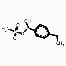 CCc1ccc(B(O)OS(N)(=O)=O)cc1